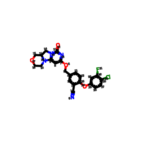 N#Cc1cc(COc2cc3n(c(=O)n2)CC2COCCN32)ccc1Oc1ccc(Cl)c(F)c1